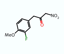 COc1ccc(CC(=O)C[N+](=O)[O-])cc1F